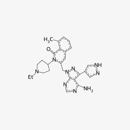 CCN1CCC(n2c(Cn3nc(-c4cn[nH]c4)c4c(N)ncnc43)cc3cccc(C)c3c2=O)CC1